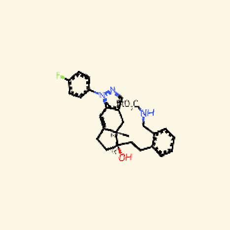 CCOC(=O)NCc1ccccc1CC[C@]1(O)CCC2=Cc3c(cnn3-c3ccc(F)cc3)C[C@@]21C